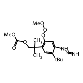 COOOc1cc(NN=N)c(C(C)(C)C)cc1C(C)(C)COC(=O)OC